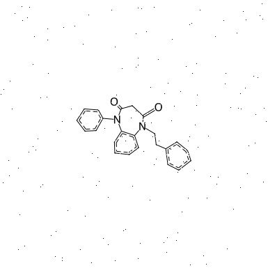 O=C1CC(=O)N(c2ccccc2)c2ccccc2N1CCc1ccccc1